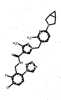 Cc1nc(N2CC3CC3C2)ccc1Cn1cc(C(=O)NCc2c(-n3cnnn3)ccc(Cl)c2F)c(C)n1